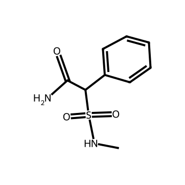 CNS(=O)(=O)C(C(N)=O)c1ccccc1